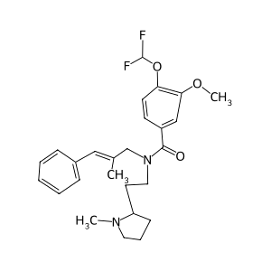 COc1cc(C(=O)N(CCC2CCCN2C)CC(C)=Cc2ccccc2)ccc1OC(F)F